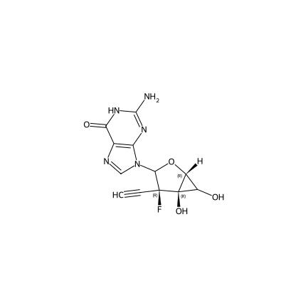 C#C[C@]1(F)C(n2cnc3c(=O)[nH]c(N)nc32)O[C@@H]2C(O)[C@@]21O